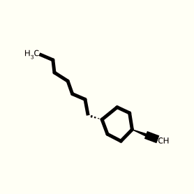 C#C[C@H]1CC[C@H](CCCCCCC)CC1